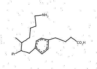 CC(C)[C](Cc1ccc(CCCC(=O)O)cc1)C(C)CCCCN